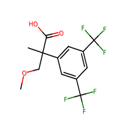 COCC(C)(C(=O)O)c1cc(C(F)(F)F)cc(C(F)(F)F)c1